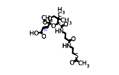 COC1(/C=C/C(=O)O)OCC(C)(C)[C@H](C(=O)NCCC(=O)NCCSC(C)=O)O1